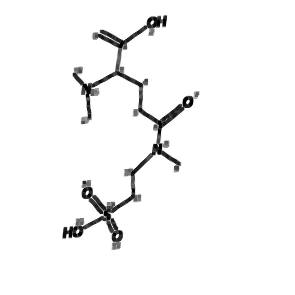 C=C(O)C(CCC(=O)N(C)CCS(=O)(=O)O)N(C)C